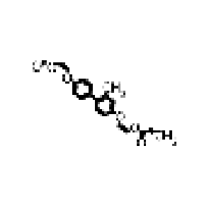 C=CC(=O)O/C=C\Oc1ccc(-c2ccc(O/C=C\OC=O)cc2)c(C)c1